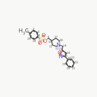 Cc1ccc(S(=O)(=O)OCC2CCN(Cc3cc(-c4ccccc4)no3)CC2)cc1